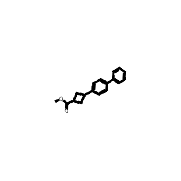 COC(=O)C1CC(c2ccc(-c3ccccc3)cc2)C1